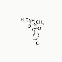 CNC(=O)N(C)C(=O)Oc1ccc(Cl)cc1